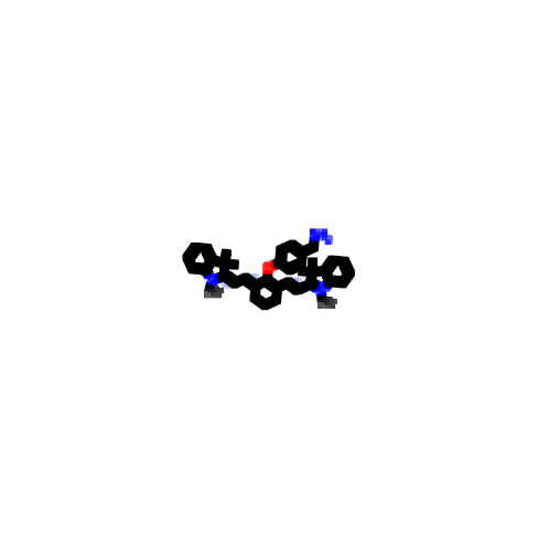 CCCN1/C(=C/C=C2\CCCC(/C=C/C3=[N+](CCC)c4ccccc4C3(C)C)=C2Oc2ccc(CN)cc2)C(C)(C)c2ccccc21